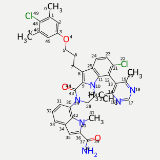 Cc1cc(OCCCc2c3n(c4c(-c5c(C)ncnc5C)c(Cl)ccc24)[C@H](C)CN(c2cccc4cc(C(N)=O)n(C)c24)C3=O)cc(C)c1Cl